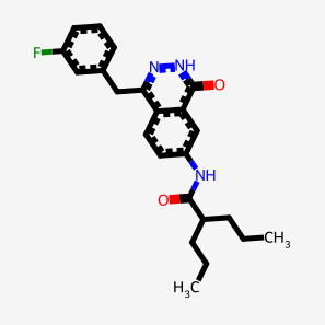 CCCC(CCC)C(=O)Nc1ccc2c(Cc3cccc(F)c3)n[nH]c(=O)c2c1